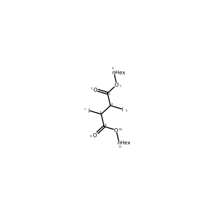 CCCCCCOC(=O)C(I)C(I)C(=O)OCCCCCC